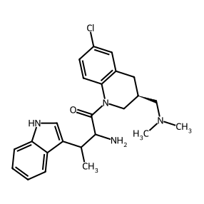 CC(c1c[nH]c2ccccc12)C(N)C(=O)N1C[C@H](CN(C)C)Cc2cc(Cl)ccc21